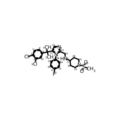 CC(C)(c1ccc(Cl)c(Cl)c1)c1cnc(CNC2CCN(S(C)(=O)=O)CC2)n1-c1ccc(F)cc1